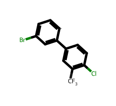 FC(F)(F)c1cc(-c2[c]ccc(Br)c2)ccc1Cl